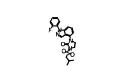 CC(C)CS(=O)(=O)N1CCN(c2cccc3c2cnn3-c2ccccc2F)C1=O